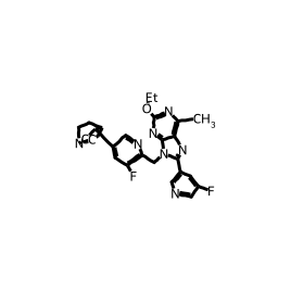 CCOc1nc(C)c2nc(-c3cncc(F)c3)n(Cc3ncc(C4CN5CCC4CC5)cc3F)c2n1